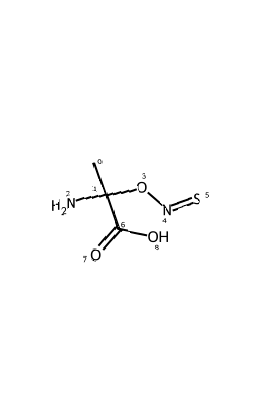 CC(N)(ON=S)C(=O)O